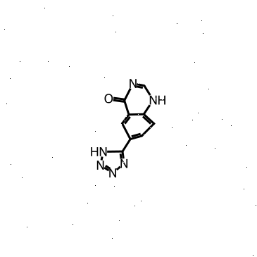 O=c1nc[nH]c2ccc(-c3nnn[nH]3)cc12